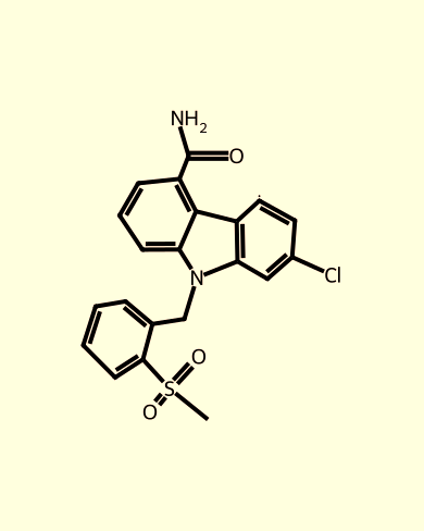 CS(=O)(=O)c1ccccc1Cn1c2cc(Cl)c[c]c2c2c(C(N)=O)cccc21